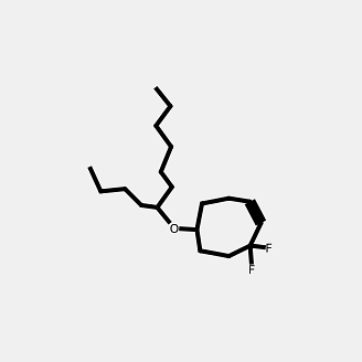 CCCCCCC(CCCC)OC1CCC#CC(F)(F)CC1